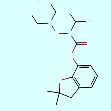 CCC(CC)N(SN(CC(=O)O)CC(=O)O)C(=O)Oc1cccc2c1OC(C)(C)C2